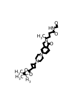 CC(CCC(=O)NC=O)N1Cc2cc(N3CCN(C4CC(C(=O)OC(C)(C)C)C4)CC3)ccc2C1=O